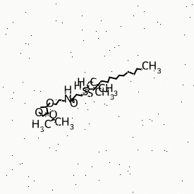 CCCCCCCCCCCC(C)(C)C(C)(C)SSCCC(=O)NCCCOC1COC[C@H]1OC(C)C